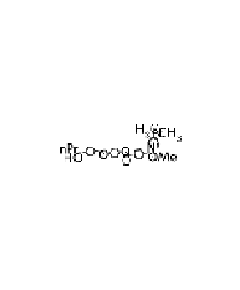 CCCC(O)c1ccc(COc2ccc(OC(=O)c3ccc(C(OC)[n+]4ccc(N(C)C)cc4)cc3)cc2)cc1